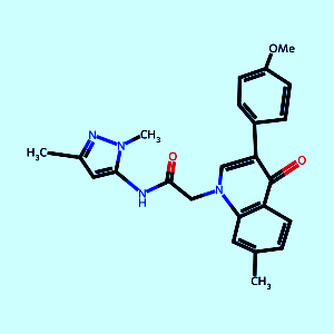 COc1ccc(-c2cn(CC(=O)Nc3cc(C)nn3C)c3cc(C)ccc3c2=O)cc1